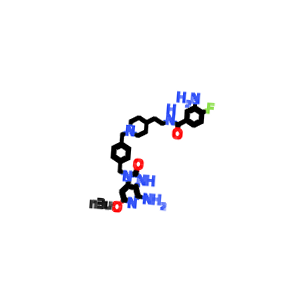 CCCCOc1cc2c([nH]c(=O)n2Cc2ccc(CN3CCC(CCNC(=O)c4ccc(F)c(N)c4)CC3)cc2)c(N)n1